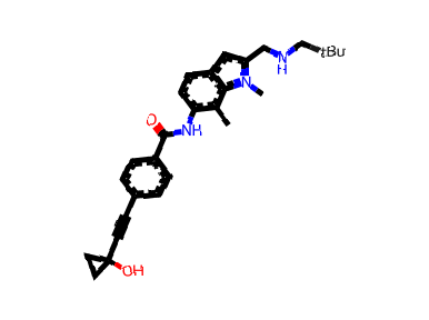 Cc1c(NC(=O)c2ccc(C#CC3(O)CC3)cc2)ccc2cc(CNCC(C)(C)C)n(C)c12